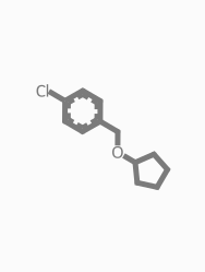 Clc1ccc(COC2CCCC2)cc1